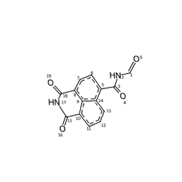 O=CNC(=O)c1ccc2c3c(cccc13)C(=O)NC2=O